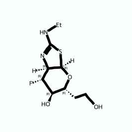 CCNC1=N[C@@H]2[C@@H](F)[C@H](O)[C@@H](CCO)O[C@@H]2S1